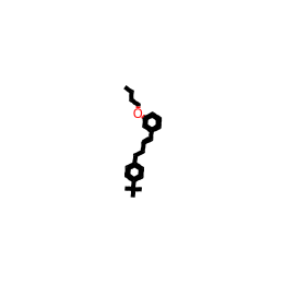 CCCCOc1cccc(C=CCCc2ccc(C(C)(C)C)cc2)c1